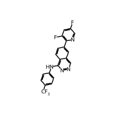 Fc1cnc(-c2ccc3c(Nc4ccc(C(F)(F)F)cc4)nncc3c2)c(F)c1